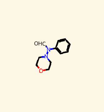 O=CN(c1ccccc1)N1CCOCC1